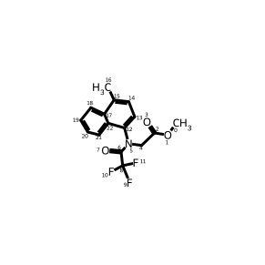 COC(=O)CN(C(=O)C(F)(F)F)c1ccc(C)c2ccccc12